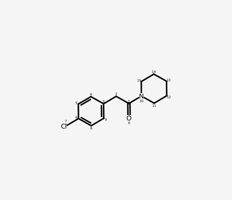 O=C(Cc1ccc(Cl)cc1)N1CCCCC1